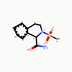 CC(C)S(=O)(=O)N1CCc2c[c]ccc2C1C(N)=O